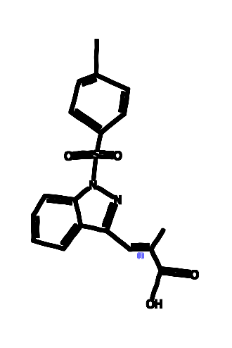 C/C(=C\c1nn(S(=O)(=O)c2ccc(C)cc2)c2ccccc12)C(=O)O